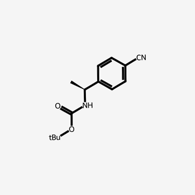 C[C@H](NC(=O)OC(C)(C)C)c1ccc(C#N)cc1